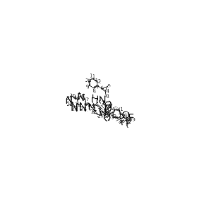 O=C(NCC1CC1c1ccccc1)[C@H]1CN(c2cnc3cncnc3n2)CCN1S(=O)(=O)c1ccc(OC(F)(F)F)cc1